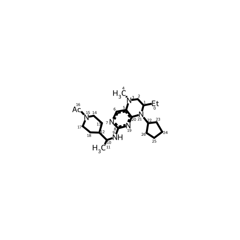 CCC1CN(C)c2cnc(NC(C)C3CCN(C(C)=O)CC3)nc2N1C1CCCC1